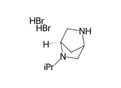 Br.Br.CC(C)N1CC2C[C@@H]1CN2